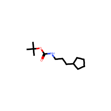 CC(C)(C)OC(=O)NCCCC1CCCC1